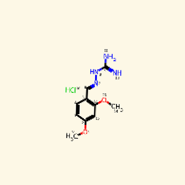 COc1ccc(/C=N/NC(=N)N)c(OC)c1.Cl